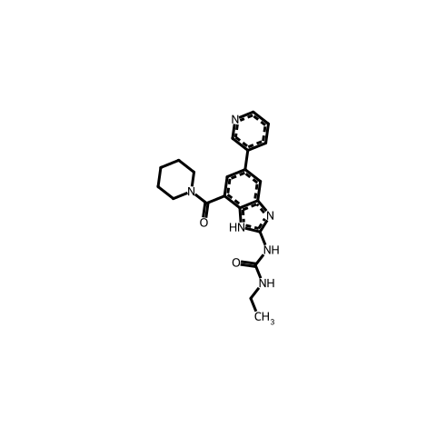 CCNC(=O)Nc1nc2cc(-c3cccnc3)cc(C(=O)N3CCCCC3)c2[nH]1